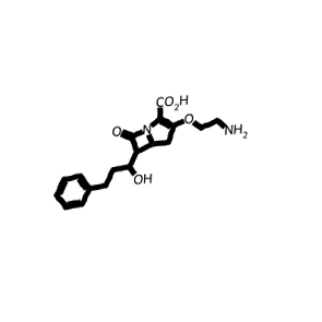 NCCOC1=C(C(=O)O)N2C(=O)C(C(O)CCc3ccccc3)C2C1